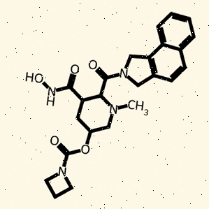 CN1CC(OC(=O)N2CCC2)CC(C(=O)NO)C1C(=O)N1Cc2ccc3ccccc3c2C1